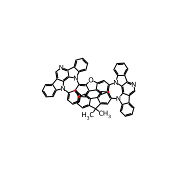 CC1(C)c2ccccc2-c2ccc(-n3c4ccccc4c4cnc5c6ccccc6n(-c6ccc7c(c6)oc6c(-n8c9ccccc9c9ncc%10c%11ccccc%11n(-c%11ccccc%11)c%10c98)cccc67)c5c43)cc21